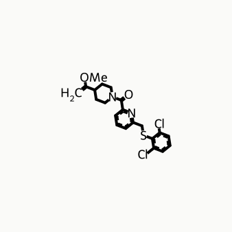 C=C(OC)C1CCN(C(=O)c2cccc(CSc3c(Cl)cccc3Cl)n2)CC1